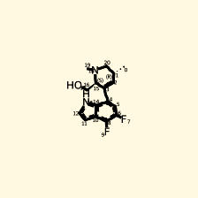 C[C@@H]1C=C(c2cc(F)c(F)c3cc[nH]c23)[C@@H](CO)N(C)C1